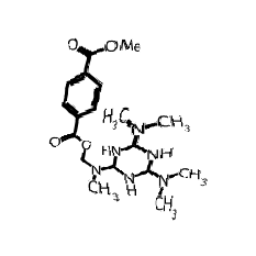 COC(=O)c1ccc(C(=O)OCN(C)C2NC(N(C)C)NC(N(C)C)N2)cc1